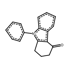 O=C1CCCc2c1c1ccccc1n2-c1ccccc1